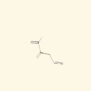 C=CCC(=S)C(=C)F